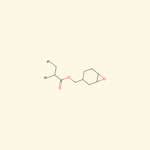 CC(C)CC(C(=O)OCC1CCC2OC2C1)C(C)C